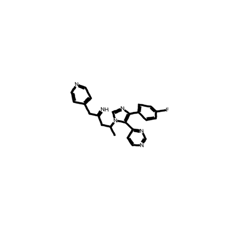 CC(CC(=N)Cc1ccncc1)n1cnc(-c2ccc(F)cc2)c1-c1ccncn1